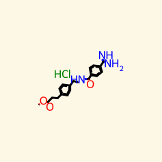 COC(=O)CCc1ccc(CCNC(=O)c2ccc(C(=N)N)cc2)cc1.Cl